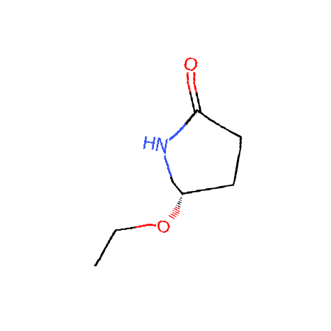 CCO[C@H]1CCC(=O)N1